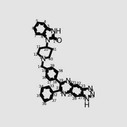 O=c1[nH]c2ccccc2n1C1CCN(Cc2ccc(-c3nc4cc5nn[nH]c5cc4nc3-c3ccccc3)cc2)CC1